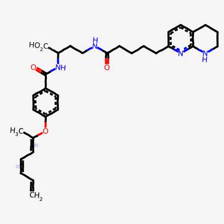 C=C/C=C\C=C(/C)Oc1ccc(C(=O)NC(CCNC(=O)CCCCc2ccc3c(n2)NCCC3)C(=O)O)cc1